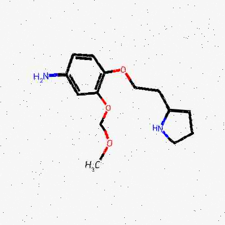 COCOc1cc(N)ccc1OCCC1CCCN1